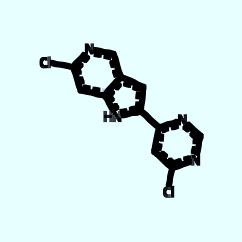 Clc1cc(-c2cc3cnc(Cl)cc3[nH]2)ncn1